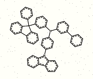 c1ccc(-c2cccc(N(c3ccc(-n4c5ccccc5c5ccccc54)cc3)c3cccc(C4(c5ccccc5)c5ccccc5-c5ccccc54)c3)c2)cc1